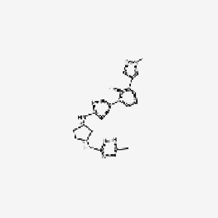 Cc1cnc(N[C@H]2CC[C@H](Nc3ccc(-n4cccc(-c5cnn(C)c5)c4=O)cn3)C2)nn1